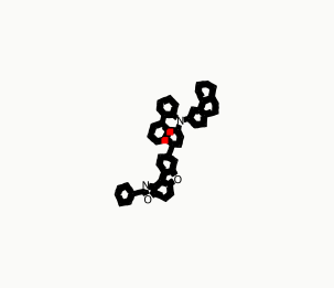 c1ccc(-c2nc3c(ccc4oc5cc(-c6ccc(N(c7ccc8ccc9ccccc9c8c7)c7ccccc7-c7ccccc7)cc6)ccc5c43)o2)cc1